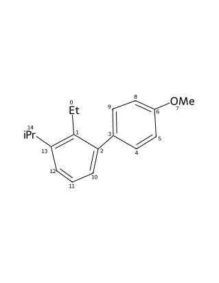 CCc1c(-c2ccc(OC)cc2)cccc1C(C)C